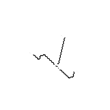 CCCC/C=C\C/C=C\CCCCCCCC(=O)OC[C@H](COC(=O)CCCCCCCC/C=C\C/C=C\C/C=C\CCCCC)OC(=O)CCCCCCCCCCCCCCCCCCCC